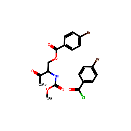 COC(=O)C(COC(=O)c1ccc(Br)cc1)NC(=O)OC(C)(C)C.O=C(Cl)c1ccc(Br)cc1